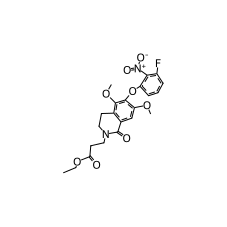 CCOC(=O)CCN1CCc2c(cc(OC)c(Oc3cccc(F)c3[N+](=O)[O-])c2OC)C1=O